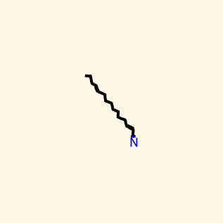 CCCC=CCCCCCCCC=CC#N